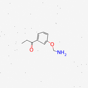 CCC(=O)c1cccc(OCN)c1